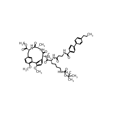 CCCc1ccc(-c2ccc(C(=O)NCCC(=O)N[C@@H](CCCCNC(=O)OC(C)(C)C)C(=O)N(C)[C@@H]3C(=O)N[C@@H](C)C(=O)N[C@H](C(=O)OC)Cc4ccc(OC)c(c4)-c4cc3ccc4OC)cc2)cc1